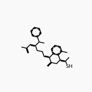 C=C(C)/C=C(\CC/C=C1/C(=C)C/C(=C(/C)S)c2c(C)cccc21)C(C)c1ccccc1